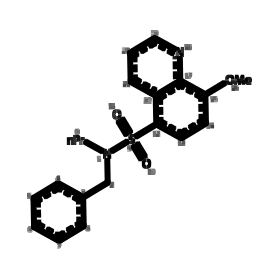 CCCN(Cc1ccccc1)S(=O)(=O)c1ccc(OC)c2ncccc12